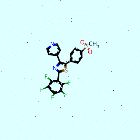 CS(=O)(=O)c1ccc(-c2sc(-c3c(F)c(F)c(F)c(F)c3F)nc2-c2ccncc2)cc1